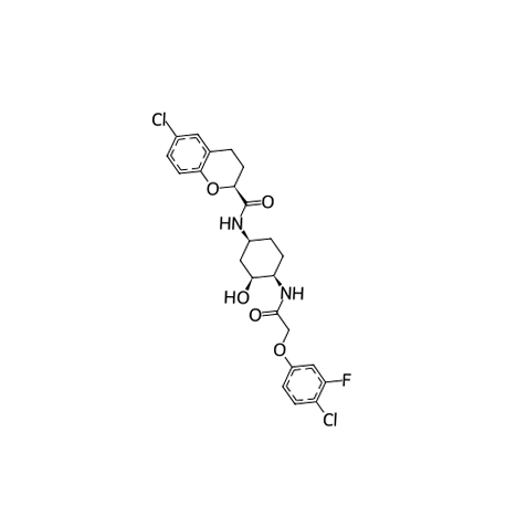 O=C(COc1ccc(Cl)c(F)c1)N[C@@H]1CC[C@H](NC(=O)[C@@H]2CCc3cc(Cl)ccc3O2)C[C@@H]1O